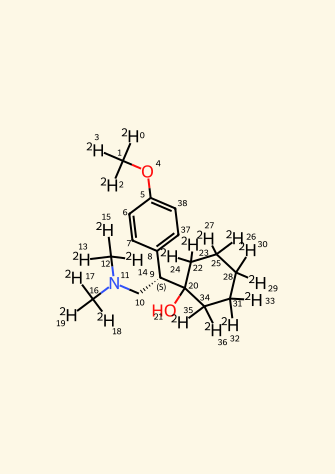 [2H]C([2H])([2H])Oc1ccc([C@@H](CN(C([2H])([2H])[2H])C([2H])([2H])[2H])C2(O)C([2H])([2H])C([2H])([2H])C([2H])([2H])C([2H])([2H])C2([2H])[2H])cc1